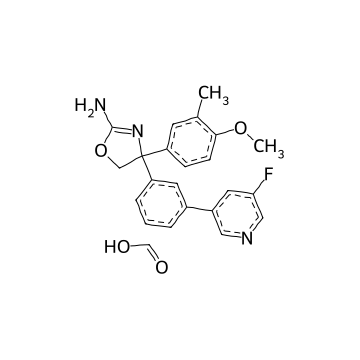 COc1ccc(C2(c3cccc(-c4cncc(F)c4)c3)COC(N)=N2)cc1C.O=CO